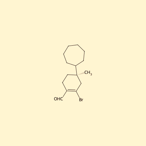 C[C@@]1(C2CCCCCC2)CCC(C=O)=C(Br)C1